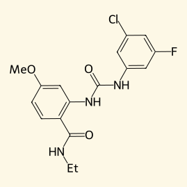 CCNC(=O)c1ccc(OC)cc1NC(=O)Nc1cc(F)cc(Cl)c1